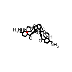 NCC1CCC(C(=O)C#CC(O)(C(=O)N2CCNCC2)c2ccccc2C(O)(C#CC(=O)C2CCC(CN)CC2)C(=O)N2CCNCC2)CC1